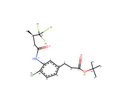 C[C@H](CC(=O)Nc1cc(CCC(=O)OC(C)(C)C)ccc1Cl)C(F)(F)F